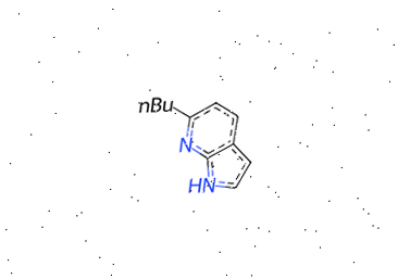 CCCCc1ccc2cc[nH]c2n1